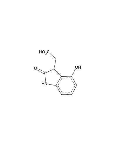 O=C(O)CC1C(=O)Nc2cccc(O)c21